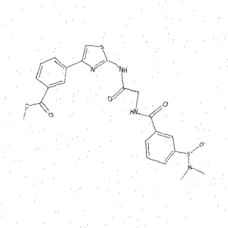 COC(=O)c1cccc(-c2csc(NC(=O)CNC(=O)c3cccc([S+]([O-])N(C)C)c3)n2)c1